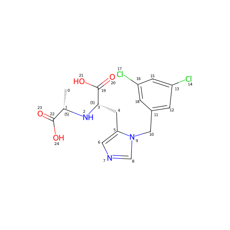 C[C@H](N[C@@H](Cc1cncn1Cc1cc(Cl)cc(Cl)c1)C(=O)O)C(=O)O